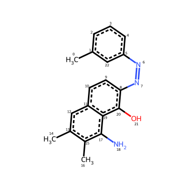 Cc1cccc(/N=N\c2ccc3cc(C)c(C)c(N)c3c2O)c1